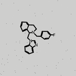 Fc1ccc(CN2CCc3ccccc3C2Cn2cnc3ccccc32)cc1